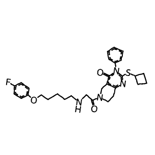 O=C(CNCCCCCOc1ccc(F)cc1)N1CCc2nc(SC3CCC3)n(-c3ccccc3)c(=O)c2C1